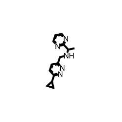 CC(NCc1ccc(C2CC2)nn1)c1ncccn1